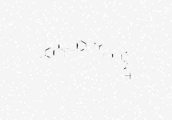 CC(OC(=O)OC(CNC(=O)OC(C)(C)C)C(C)(C)C)OC(=O)C(C)(C)Oc1ccc(CCNC(=O)c2ccc(Cl)cc2)cc1